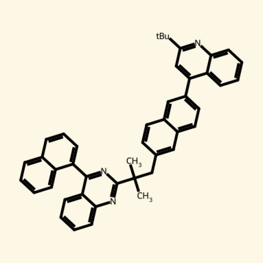 CC(C)(C)c1cc(-c2ccc3cc(CC(C)(C)c4nc(-c5cccc6ccccc56)c5ccccc5n4)ccc3c2)c2ccccc2n1